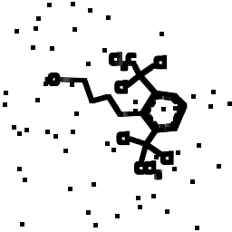 [O]CCCCc1c(C(Cl)(Cl)C(Cl)(Cl)Cl)cccc1C(Cl)(Cl)C(Cl)(Cl)Cl